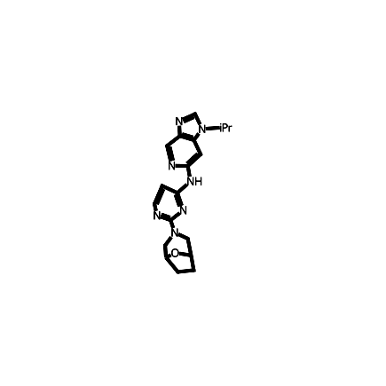 CC(C)n1cnc2cnc(Nc3ccnc(N4CC5CCC(C4)O5)n3)cc21